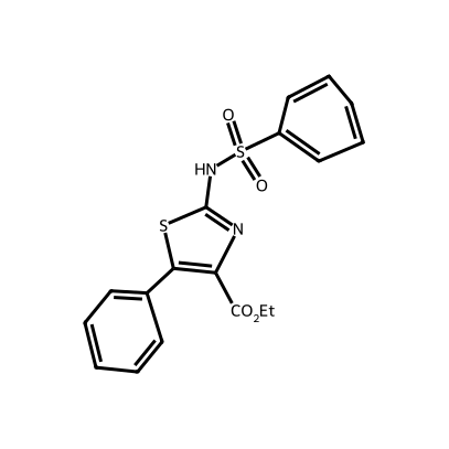 CCOC(=O)c1nc(NS(=O)(=O)c2ccccc2)sc1-c1ccccc1